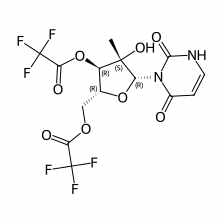 C[C@]1(O)[C@H](OC(=O)C(F)(F)F)[C@@H](COC(=O)C(F)(F)F)O[C@H]1n1c(=O)cc[nH]c1=O